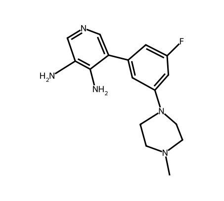 CN1CCN(c2cc(F)cc(-c3cncc(N)c3N)c2)CC1